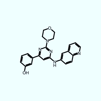 Oc1cccc(-c2cc(Nc3ccc4ncccc4c3)nc(N3CCOCC3)n2)c1